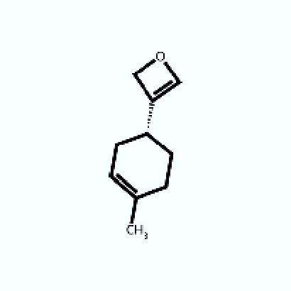 CC1=CC[C@H](C2=COC2)CC1